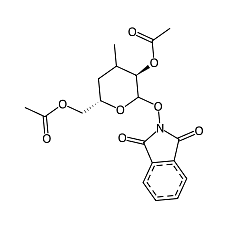 CC(=O)OC[C@@H]1CC(C)[C@@H](OC(C)=O)C(ON2C(=O)c3ccccc3C2=O)O1